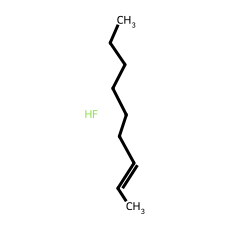 CC=CCCCCCC.F